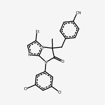 CCc1cnc2n1C(C)(Cc1ccc(C#N)cc1)C(=O)N2c1cc(Cl)cc(Cl)c1